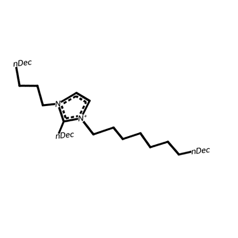 CCCCCCCCCCCCCCCCC[n+]1ccn(CCCCCCCCCCCCC)c1CCCCCCCCCC